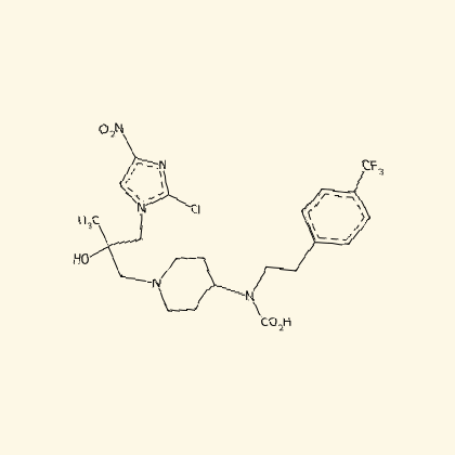 CC(O)(CN1CCC(N(CCc2ccc(C(F)(F)F)cc2)C(=O)O)CC1)Cn1cc([N+](=O)[O-])nc1Cl